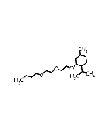 CCCCOCCOCCOC1CC(C)CCC1C(C)C